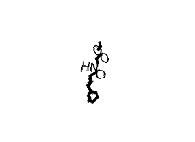 CCOC(=O)CCNC(=O)CCCc1ccccc1